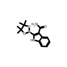 CC1(C)OB(c2[nH]c3ccccc3c2C(N)=O)OC1(C)C